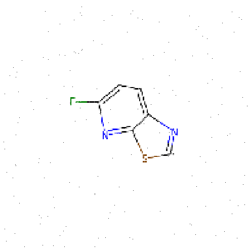 Fc1ccc2n[c]sc2n1